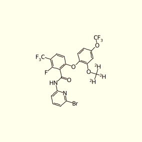 [2H]C([2H])([2H])Oc1cc(OC(F)(F)F)ccc1Oc1ccc(C(F)(F)F)c(F)c1C(=O)Nc1cccc(Br)n1